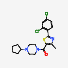 Cc1nc(-c2ccc(Cl)cc2Cl)sc1C(=O)N1CCN(C2CCCC2)CC1